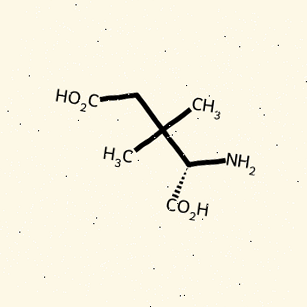 CC(C)(CC(=O)O)[C@H](N)C(=O)O